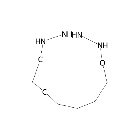 C1CCCNNNNOCCC1